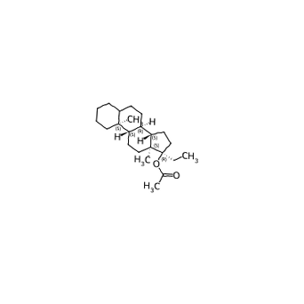 CC[C@@]1(OC(C)=O)CC[C@H]2[C@@H]3CCC4CCCC[C@]4(C)[C@H]3CC[C@@]21C